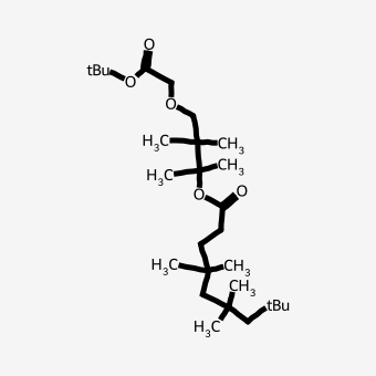 CC(C)(C)CC(C)(C)CC(C)(C)CCC(=O)OC(C)(C)C(C)(C)COCC(=O)OC(C)(C)C